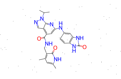 Cc1cc(C)c(CNC(=O)c2cc(Nc3ccc4[nH]c(=O)[nH]c4c3)nc3c2cnn3C(C)C)c(=O)[nH]1